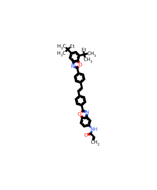 C=CC(=O)Nc1ccc2oc(-c3ccc(C=Cc4ccc(-c5nc6cc(C(C)(C)CC)cc(C(C)(C)CC)c6o5)cc4)cc3)nc2c1